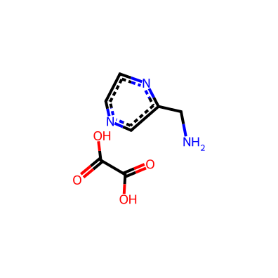 NCc1cnccn1.O=C(O)C(=O)O